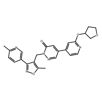 Cc1ccc(-c2noc(C)c2Cn2ncc(-c3ccnc(OC4CCOC4)c3)cc2=O)cn1